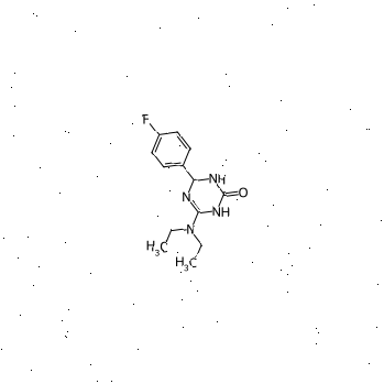 CCN(CC)C1=NC(c2ccc(F)cc2)NC(=O)N1